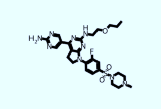 CCCOCCNc1nc(-c2cnc(N)nc2)c2c(n1)N(c1ccc(S(=O)(=O)N3CCN(C)CC3)cc1F)CC2